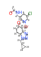 CC(=O)NCc1cc(Cl)cnc1Oc1ccc2c(nnn2CC2CC2)c1Br